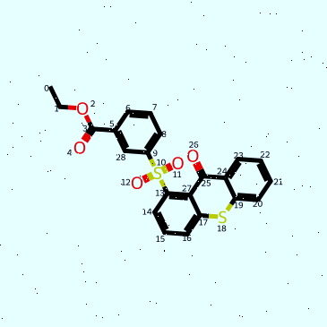 CCOC(=O)c1cccc(S(=O)(=O)c2cccc3sc4ccccc4c(=O)c23)c1